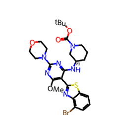 COc1nc(N2CCOCC2)nc(N[C@@H]2CCCN(C(=O)OC(C)(C)C)C2)c1-c1nc2c(Br)cccc2s1